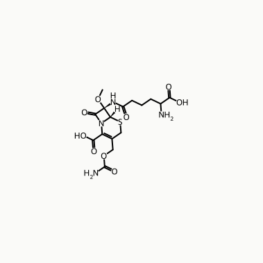 CO[C@@]1(NC(=O)CCCC(N)C(=O)O)C(=O)N2C(C(=O)O)=C(COC(N)=O)CS[C@H]21